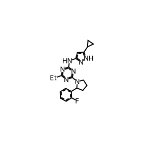 CCc1nc(Nc2cc(C3CC3)[nH]n2)nc(N2CCCC2c2ccccc2F)n1